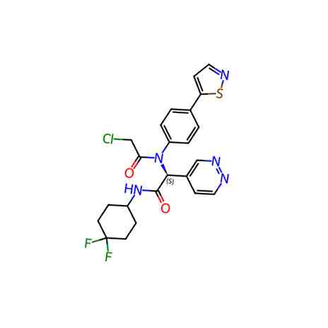 O=C(NC1CCC(F)(F)CC1)[C@H](c1ccnnc1)N(C(=O)CCl)c1ccc(-c2ccns2)cc1